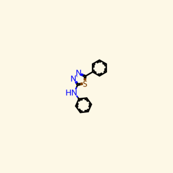 c1ccc(Nc2nnc(-c3ccccc3)s2)cc1